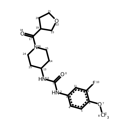 O=C(Nc1ccc(OC(F)(F)F)c(F)c1)NC1CCN(C(=O)C2CCOC2)CC1